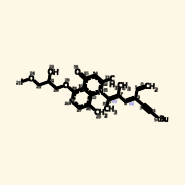 C=C/C(C#CC(C)(C)C)=C\C(C)=C(/C)n1c(C)cc(=O)c2c(OCC(O)COI)ncc(C)c21